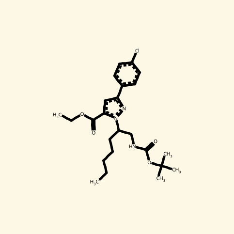 CCCCCC(CNC(=O)OC(C)(C)C)n1nc(-c2ccc(Cl)cc2)cc1C(=O)OCC